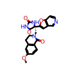 COc1ccc2c(c1)CCN(C[C@@]1(c3cc4cnccc4o3)NC(=O)NC1=O)C2=O